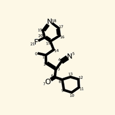 CC(C=C(C#N)C(=O)C1CCCCC1)Cc1ccncc1F